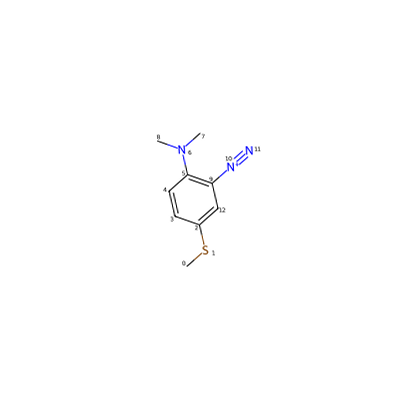 CSc1ccc(N(C)C)c([N+]#N)c1